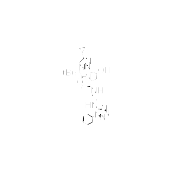 CC(C)(C)[C@@H](C(=O)N1C[C@H](O)C[C@H]1C(=O)NCCNc1nnnn1-c1ccccc1)n1cc(C2CC2)nn1